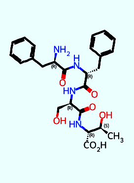 C[C@H](O)[C@@H](NC(=O)[C@@H](CO)NC(=O)[C@@H](Cc1ccccc1)NC(=O)[C@H](N)Cc1ccccc1)C(=O)O